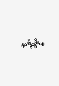 FC(F)(F)c1ccc(-c2cc(-n3c4ccccc4c4c5c6ccccc6n(-c6cc(-c7ccc(C(F)(F)F)cc7)nc(-c7ccccc7)n6)c5ccc43)nc(-c3ccccc3)n2)cc1